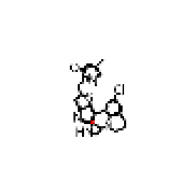 Cc1cnn(Cc2cc3nccc(-c4cc(Cl)cc5c4N(C4CNC4)CCC5)c3s2)c(=O)c1